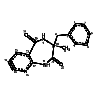 C[C@@]1(Cc2ccccc2)NC(=O)c2cc#cnc2NC1=O